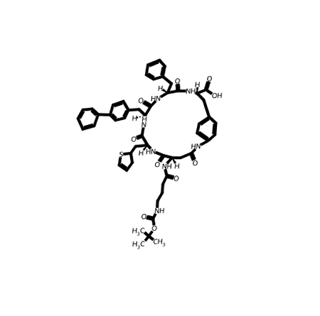 CC(C)(C)OC(=O)NCCCC(=O)N[C@H]1CC(=O)Nc2ccc(cc2)C[C@@H](C(=O)O)NC(=O)[C@@H](Cc2ccccc2)NC(=O)[C@H](Cc2ccc(-c3ccccc3)cc2)NC(=O)[C@@H](CC2CC=CS2)NC1=O